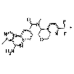 Cc1ncn2c1c(N)nc1ccc(C(=O)N(C)C3COCc4nc(C(F)(F)F)ccc43)cc12